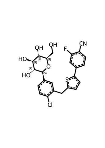 N#Cc1ccc(-c2ccc(Cc3cc([C@@H]4O[C@H](CO)[C@@H](O)[C@H](O)[C@H]4O)ccc3Cl)s2)cc1F